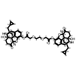 O=C(COCCOCC(=O)Oc1ccc2c3c1O[C@@H]1C(=O)CC[C@]4(O)[C@H](C2)N(CC2CC2)CC[C@@]314)Oc1ccc2c3c1O[C@@H]1C(=O)CC[C@]4(O)[C@H](C2)N(CC2CC2)CC[C@@]314